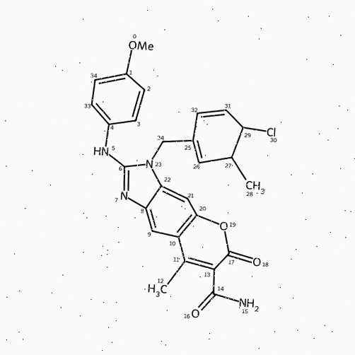 COc1ccc(Nc2nc3cc4c(C)c(C(N)=O)c(=O)oc4cc3n2CC2=CC(C)C(Cl)C=C2)cc1